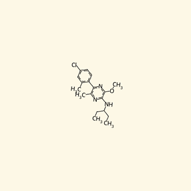 CCC(CC)Nc1nc(C)c(-c2ccc(Cl)cc2C)nc1OC